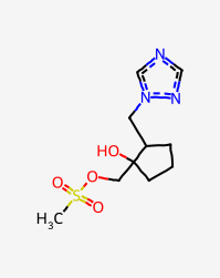 CS(=O)(=O)OCC1(O)CCCC1Cn1cncn1